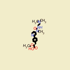 CCO[C@@H](Cc1ccc(-c2cc(N(C)C(=O)NCCN(C)C)ccn2)cc1)C(=O)O